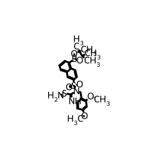 COc1ccc(CN(C(=N)SN)S(=O)(=O)c2ccc3c(B4OC(C)(C)C(C)(C)O4)cccc3c2)c(OC)c1